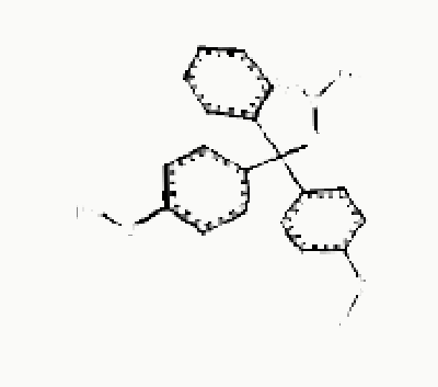 COc1ccc(C(OP(N)O)(c2ccccc2)c2ccc(OC)cc2)cc1